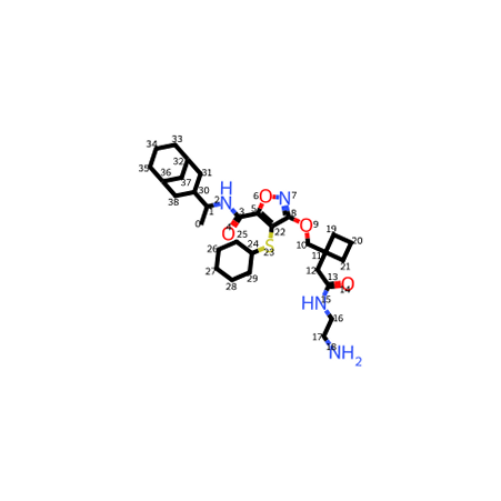 CC(NC(=O)c1onc(OCC2(CC(=O)NCCN)CCC2)c1SC1CCCCC1)C1CC2CCCC(C2)C1